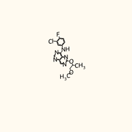 COCC(C)Oc1ncc2ncnc(Nc3ccc(F)c(Cl)c3)c2n1